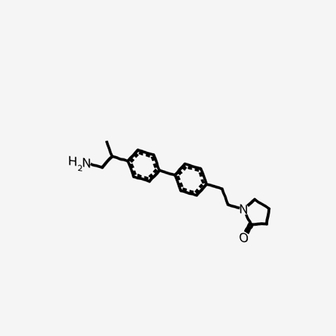 CC(CN)c1ccc(-c2ccc(CCN3CCCC3=O)cc2)cc1